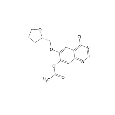 CC(=O)Oc1cc2ncnc(Cl)c2cc1OC[C@@H]1CCCO1